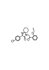 O=C(CN1C(=O)C(c2ccc(Cl)cc2)=NC12CCCCC2)c1ccccc1OCI